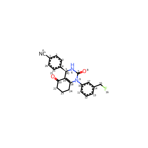 N#Cc1ccc([C@H]2NC(=O)N(c3cccc(CF)c3)C3=C2C(=O)CCC3)cc1